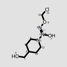 OCC1CCN(/[N+](O)=N/OCCl)CC1